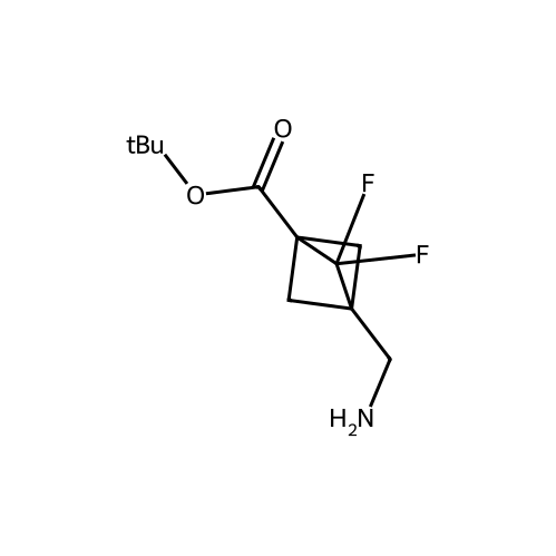 CC(C)(C)OC(=O)C12CC(CN)(C1)C2(F)F